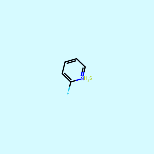 Fc1ccccn1.S